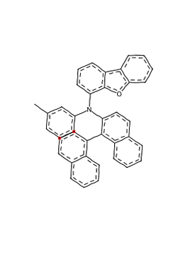 Cc1cccc(N(c2ccc3ccccc3c2-c2cccc3ccccc23)c2cccc3c2oc2ccccc23)c1